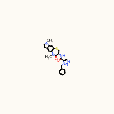 CN1C(=O)[C@@H](NC(=O)c2cnnn2Cc2ccccc2)CSc2cc3c(ccn3C)cc21